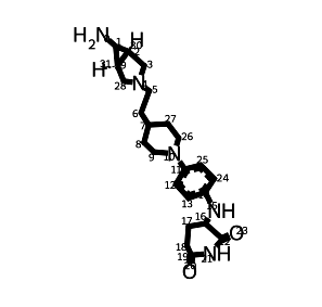 NC1[C@H]2CN(CCC3CCN(c4ccc(NC5CCC(=O)NC5=O)cc4)CC3)C[C@@H]12